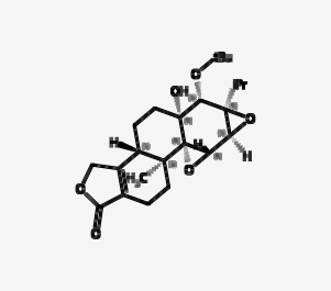 CC(C)[C@]12O[C@H]1[C@@H]1O[C@@]13[C@@]1(C)CCC4=C(COC4=O)[C@@H]1CC[C@@]3(O)[C@@H]2OC(C)(C)C